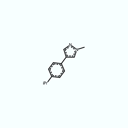 CC(C)c1ccc(-c2cnn(C)c2)cc1